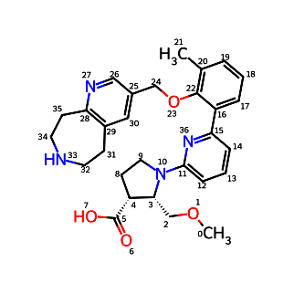 COC[C@@H]1[C@H](C(=O)O)CCN1c1cccc(-c2cccc(C)c2OCc2cnc3c(c2)CCNCC3)n1